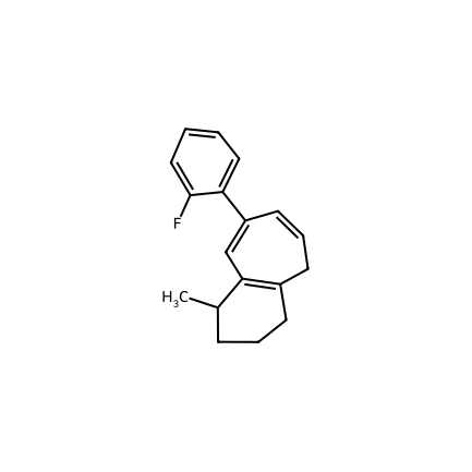 CC1CCCC2=C1C=C(c1ccccc1F)C=CC2